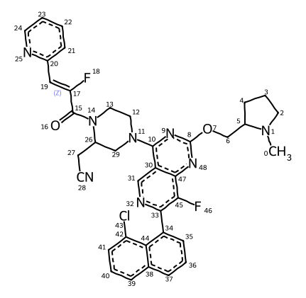 CN1CCCC1COc1nc(N2CCN(C(=O)/C(F)=C/c3ccccn3)C(CC#N)C2)c2cnc(-c3cccc4cccc(Cl)c34)c(F)c2n1